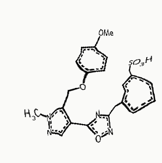 COc1ccc(OCc2c(-c3nc(-c4cccc(S(=O)(=O)O)c4)no3)cnn2C)cc1